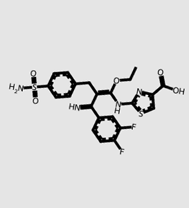 CCO/C(Nc1nc(C(=O)O)cs1)=C(\Cc1ccc(S(N)(=O)=O)cc1)C(=N)c1ccc(F)c(F)c1